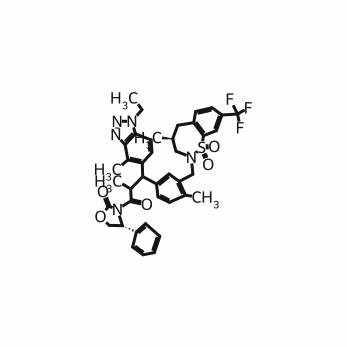 CCn1nnc2c(C)c(C(c3ccc(C)c(CN4C[C@@H](C)Cc5ccc(C(F)(F)F)cc5S4(=O)=O)c3)C(C)C(=O)N3C(=O)OC[C@H]3c3ccccc3)ccc21